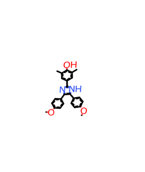 COc1ccc(-c2nc(-c3cc(C)c(O)c(C)c3)[nH]c2-c2ccc(OC)cc2)cc1